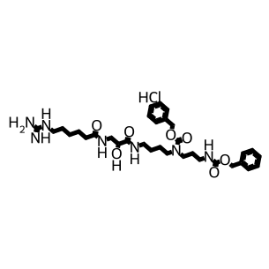 Cl.N=C(N)NCCCCCC(=O)NCC(O)C(=O)NCCCCN(CCCNC(=O)OCc1ccccc1)C(=O)OCc1ccccc1